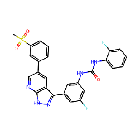 CS(=O)(=O)c1cccc(-c2cnc3[nH]nc(-c4cc(F)cc(NC(=O)Nc5ccccc5F)c4)c3c2)c1